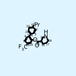 CC(C)c1ccc(-c2ccc(C(F)(F)F)cc2OC(=O)C2CCCNC2)cc1